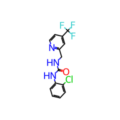 O=C(NCc1cc(C(F)(F)F)ccn1)Nc1ccccc1Cl